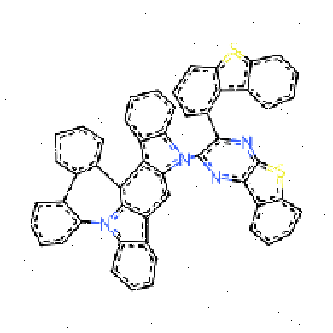 c1ccc2c(c1)-c1ccccc1-n1c3ccccc3c3cc4c(c-2c31)c1ccccc1n4-c1nc2c(nc1-c1cccc3sc4ccccc4c13)sc1ccccc12